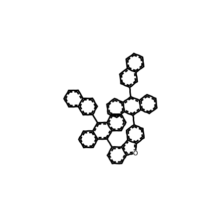 c1ccc2cc(-c3c4ccccc4c(-c4ccc5oc6cccc(-c7c8ccccc8c(-c8ccc9ccccc9c8)c8ccccc78)c6c5c4)c4ccccc34)ccc2c1